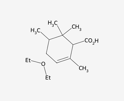 CC1=CCC(C)C(C)(C)C1C(=O)O.CCOCC